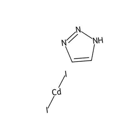 [I][Cd][I].c1c[nH]nn1